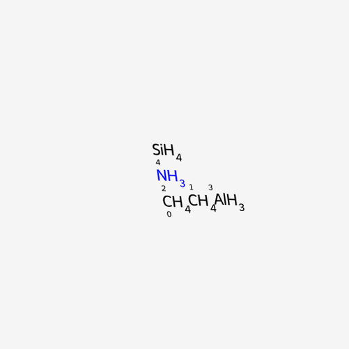 C.C.N.[AlH3].[SiH4]